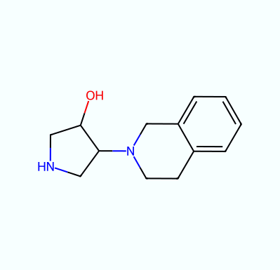 OC1CNCC1N1CCc2ccccc2C1